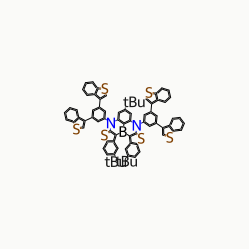 CC(C)(C)c1cc2c3c(c1)N(c1cc(-c4csc5ccccc45)cc(-c4csc5ccccc45)c1)c1sc4ccc(C(C)(C)C)cc4c1B3c1c(sc3ccc(C(C)(C)C)cc13)N2c1cc(-c2csc3ccccc23)cc(-c2csc3ccccc23)c1